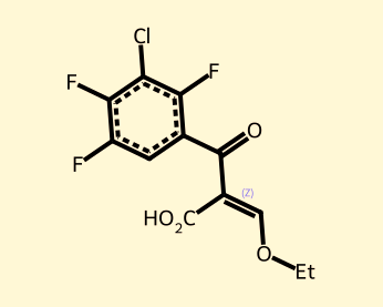 CCO/C=C(\C(=O)O)C(=O)c1cc(F)c(F)c(Cl)c1F